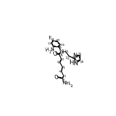 NC(=O)CCCCCC(=O)N(CCc1ncc[nH]1)c1ccc(F)cc1N